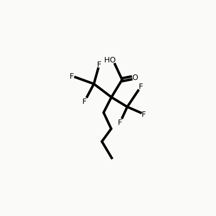 CCCCC(C(=O)O)(C(F)(F)F)C(F)(F)F